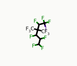 FC(F)C(F)C(F)C(C(F)C(F)(F)I)(C(F)(F)F)C(F)(F)F